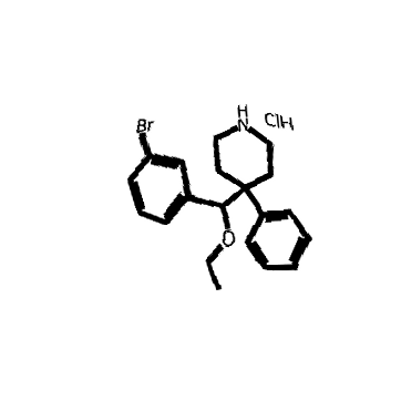 CCOC(c1cccc(Br)c1)C1(c2ccccc2)CCNCC1.Cl